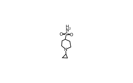 NS(=O)(=O)C1CCN(C2CC2)CC1